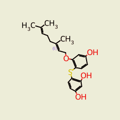 CC(C)=CCC/C(C)=C/COc1cc(O)ccc1Sc1ccc(O)cc1O